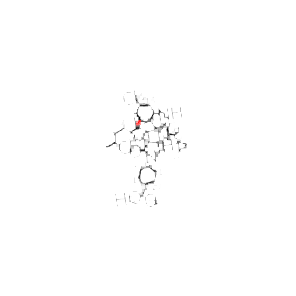 C=C(Cl)/C=C\C=C(/F)[C@@H]1[C@H]2C(=O)N(c3ccc(C(=O)O)cc3)C[C@H]2N(CC2CC2)[C@]12C(=O)Nc1cc(Cl)ccc12